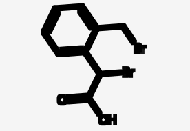 O=C(O)C(Br)c1ccccc1CBr